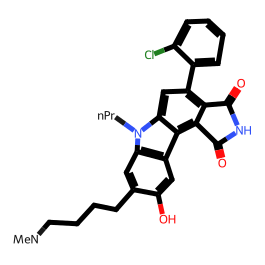 CCCn1c2cc(CCCCNC)c(O)cc2c2c3c(c(-c4ccccc4Cl)cc21)C(=O)NC3=O